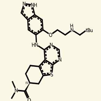 CN(C)C(=O)[C@H]1CCc2c(sc3ncnc(Nc4cc5cn[nH]c5cc4OCCNCC(C)(C)C)c23)C1